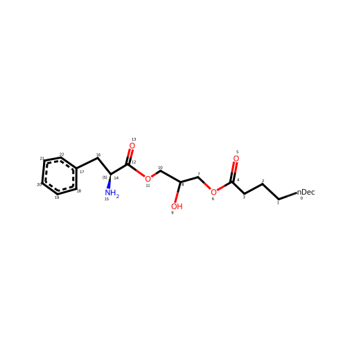 CCCCCCCCCCCCCC(=O)OCC(O)COC(=O)[C@@H](N)Cc1ccccc1